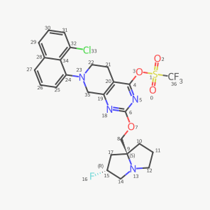 O=S(=O)(Oc1nc(OC[C@@]23CCCN2C[C@H](F)C3)nc2c1CCN(c1cccc3cccc(Cl)c13)C2)C(F)(F)F